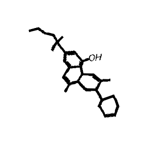 CCCCC(C)(C)c1cc(O)c2c(c1)C=C(C)C1CC(C3CCCCC3)C(C)=CC21